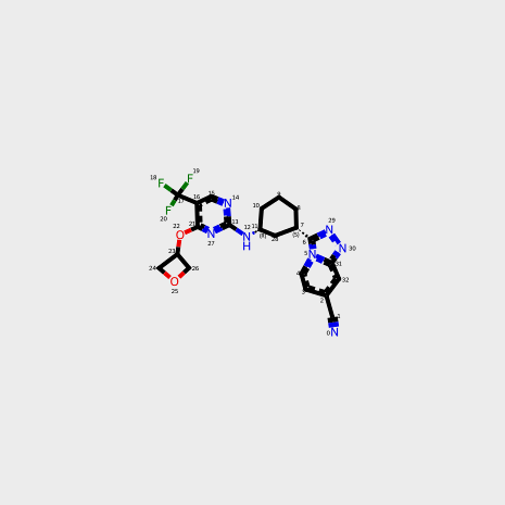 N#Cc1ccn2c([C@H]3CCC[C@@H](Nc4ncc(C(F)(F)F)c(OC5COC5)n4)C3)nnc2c1